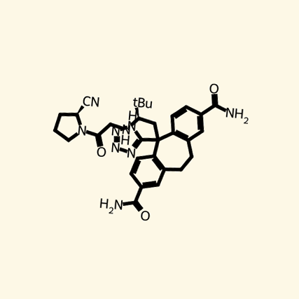 CC(C)(C)[C@@H](CC1(c2nnn[nH]2)c2ccc(C(N)=O)cc2CCc2cc(C(N)=O)ccc21)NCC(=O)N1CCC[C@H]1C#N